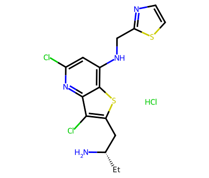 CC[C@H](N)Cc1sc2c(NCc3nccs3)cc(Cl)nc2c1Cl.Cl